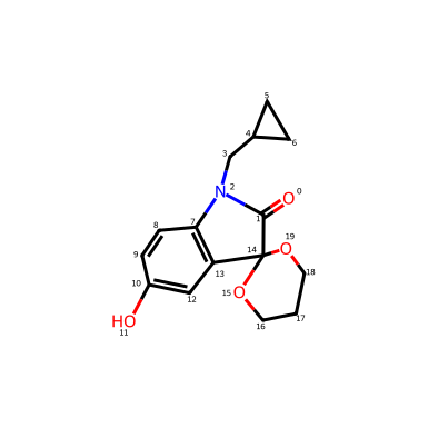 O=C1N(CC2CC2)c2ccc(O)cc2C12OCCCO2